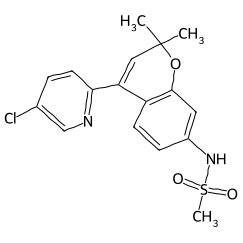 CC1(C)C=C(c2ccc(Cl)cn2)c2ccc(NS(C)(=O)=O)cc2O1